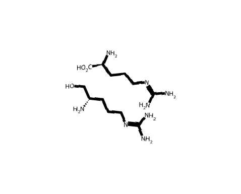 NC(N)=NCCC[C@H](N)C(=O)O.NC(N)=NCCC[C@H](N)CO